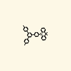 Cc1ccc(-c2cc(-c3ccc(C)cc3)cc(-c3ccc(N4c5ccccc5C(C)(C)c5ccccc54)cc3)c2)cc1